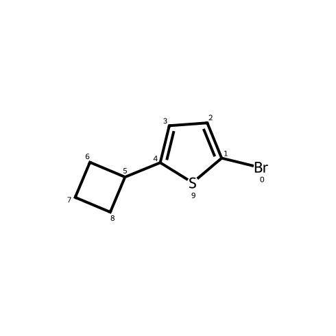 Brc1ccc(C2CCC2)s1